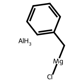 [AlH3].[Cl][Mg][CH2]c1ccccc1